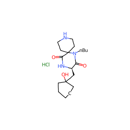 CCCCN1C(=O)[C@@H](CC2(O)CCCCC2)NC(=O)C12CCNCC2.Cl